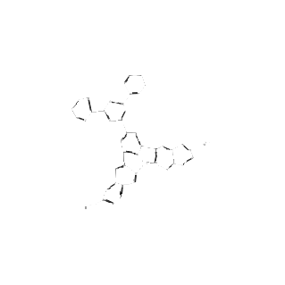 CC(C)c1ccc2cc3c(cc2c1)c1cc(-c2cc(C4=CCCC=C4)cc(-c4ccccc4)c2)cc2c4cc5cc(C(C)C)ccc5cc4n3c12